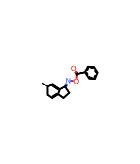 C[C@H]1C=C2C(=CC1)CC/C2=N\OC(=O)c1ccccc1